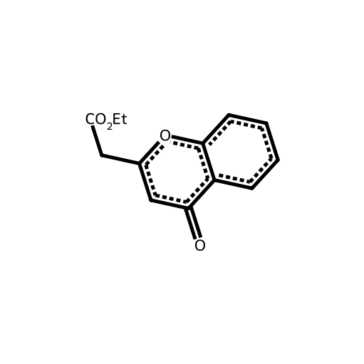 CCOC(=O)Cc1cc(=O)c2ccccc2o1